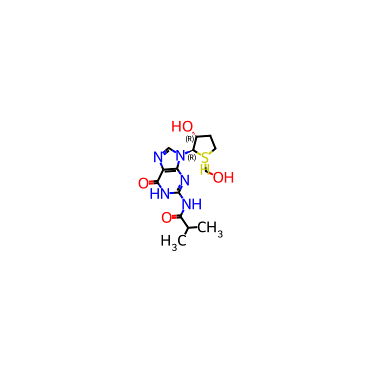 CC(C)C(=O)Nc1nc2c(ncn2[C@H]2[C@H](O)CC[SH]2CO)c(=O)[nH]1